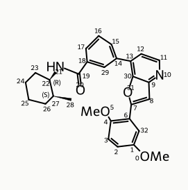 COc1ccc(OC)c(-c2cc3nccc(-c4cccc(C(=O)N[C@@H]5CCCC[C@@H]5C)c4)c3o2)c1